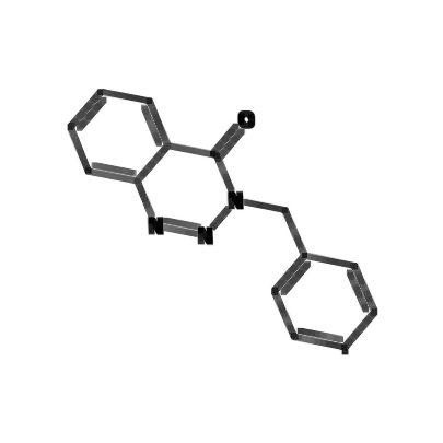 O=c1c2ccccc2nnn1Cc1cc[c]cc1